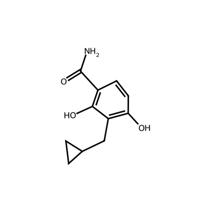 NC(=O)c1ccc(O)c(CC2CC2)c1O